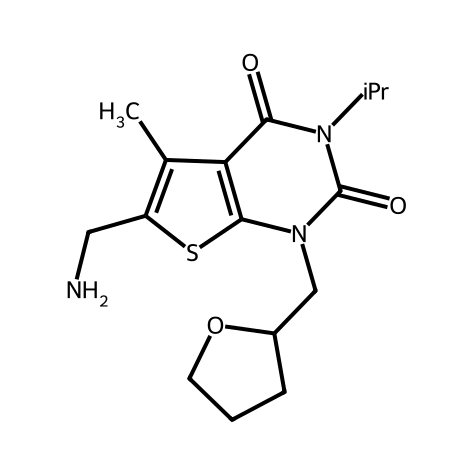 Cc1c(CN)sc2c1c(=O)n(C(C)C)c(=O)n2CC1CCCO1